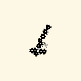 CC1(C)c2cc(-c3ccc(-c4ccc(-c5ccccc5)cc4)cc3)ccc2-c2ccc(N(c3ccc4ccccc4c3)c3cc4ccccc4c4ccccc34)cc21